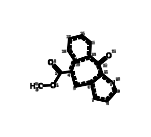 COC(=O)c1cc2cccnc2c(=O)c2ccccc12